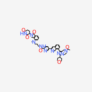 CC(=O)N1CCn2c(C3CCOCC3)nc(-c3cccc4cc(-c5ccc(C(=O)NCCCN(C)c6cccc7c6CN(C6CCC(=O)NC6=O)C7=O)nc5)ncc34)c2C1